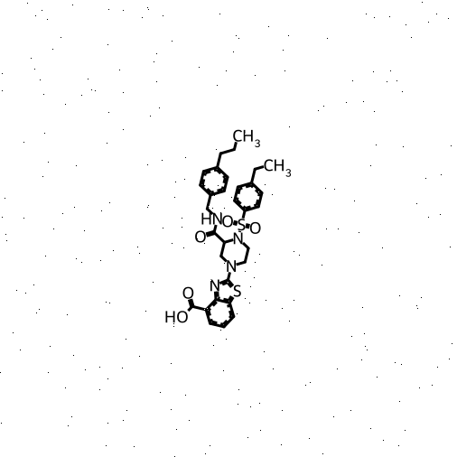 CCCc1ccc(CNC(=O)C2CN(c3nc4c(C(=O)O)cccc4s3)CCN2S(=O)(=O)c2ccc(CC)cc2)cc1